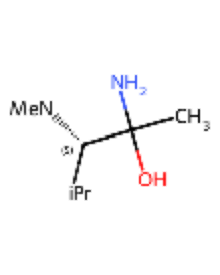 CN[C@@H](C(C)C)C(C)(N)O